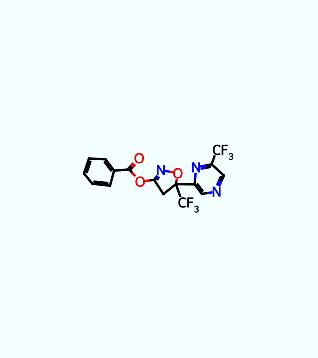 O=C(OC1=NOC(c2cncc(C(F)(F)F)n2)(C(F)(F)F)C1)c1ccccc1